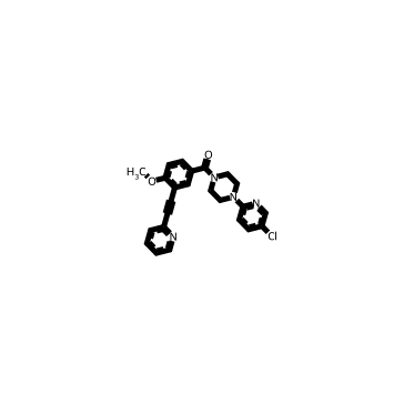 COc1ccc(C(=O)N2CCN(c3ccc(Cl)cn3)CC2)cc1C#Cc1ccccn1